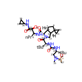 CCCC(NC(=O)[C@@H]1[C@H]2CCC3(CC3)[C@H]2CN1C(=O)[C@@H](NC(=O)N[C@H](CN(C)[S+](C)[O-])C(C)(C)C)C(C)(C)C)C(=O)C(=O)NC1CC1